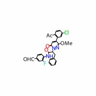 COc1nn(C(Cc2ccccc2)C(=O)Nc2ccc(C=O)cc2F)c(=O)cc1-c1cc(Cl)ccc1C(C)=O